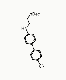 CCCCCCCCCCCCNc1ccc(-c2ccc(C#N)cc2)cc1